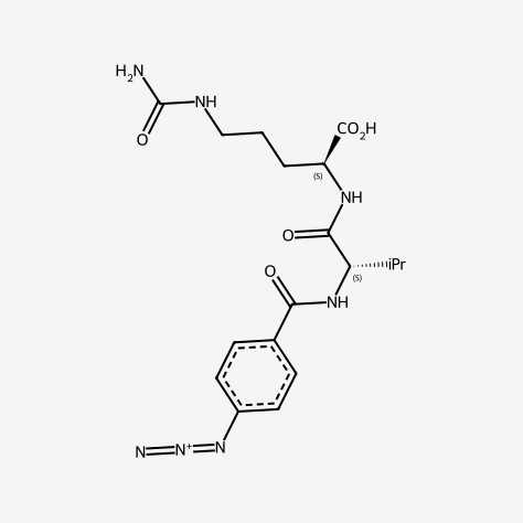 CC(C)[C@H](NC(=O)c1ccc(N=[N+]=[N-])cc1)C(=O)N[C@@H](CCCNC(N)=O)C(=O)O